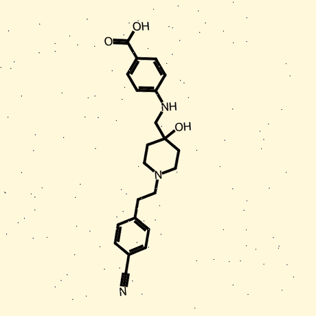 N#Cc1ccc(CCN2CCC(O)(CNc3ccc(C(=O)O)cc3)CC2)cc1